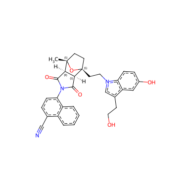 C[C@@]12CC[C@@](CCn3cc(CCO)c4cc(O)ccc43)(O1)[C@H]1C(=O)N(c3ccc(C#N)c4ccccc34)C(=O)[C@H]12